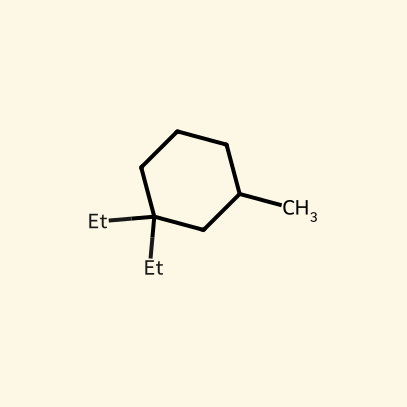 CCC1(CC)CCCC(C)C1